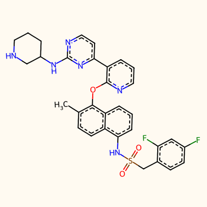 Cc1ccc2c(NS(=O)(=O)Cc3ccc(F)cc3F)cccc2c1Oc1ncccc1-c1ccnc(NC2CCCNC2)n1